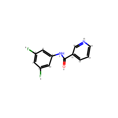 O=C(Nc1cc(F)cc(F)c1)c1cccnc1